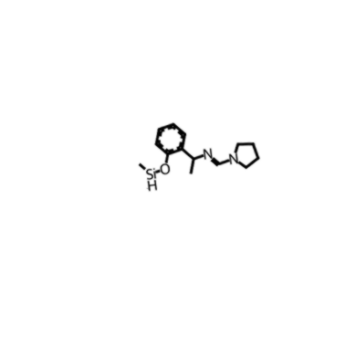 CC(N=CN1CCCC1)c1ccccc1O[SiH](C)C